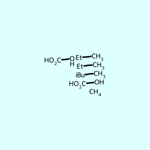 C.CCC.CCC.CCC(C)C.O=C(O)O.O=C(O)O